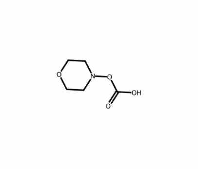 O=C(O)ON1CCOCC1